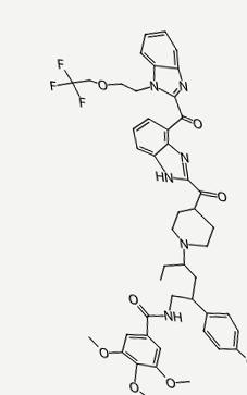 CCC(CC(CNC(=O)c1cc(OC)c(OC)c(OC)c1)c1ccc(Cl)cc1)N1CCC(C(=O)c2nc3c(C(=O)c4nc5ccccc5n4CCOCC(F)(F)F)cccc3[nH]2)CC1